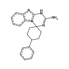 NC1=NC2(CCC(c3ccccc3)CC2)n2c(nc3ccccc32)N1